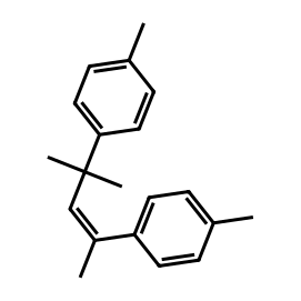 CC(=CC(C)(C)c1ccc(C)cc1)c1ccc(C)cc1